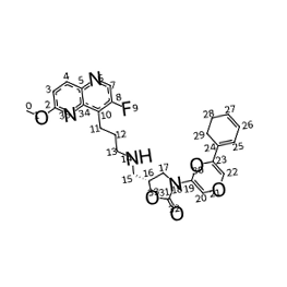 COc1ccc2ncc(F)c(CCCNC[C@@H]3CN(C4=COC=C(C5=CC=CCC5)O4)C(=O)O3)c2n1